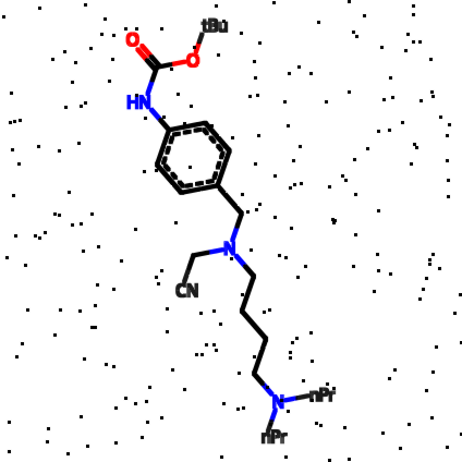 CCCN(CCC)CCCCN(CC#N)Cc1ccc(NC(=O)OC(C)(C)C)cc1